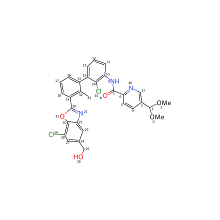 COC(OC)c1ccc(C(=O)Nc2cccc(-c3cccc(-c4nc5cc(CO)cc(Cl)c5o4)c3C)c2Cl)nc1